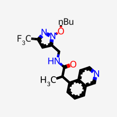 CCCCOn1nc(C(F)(F)F)cc1CNC(=O)C(C)c1cccc2cnccc12